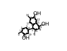 Cc1ccc(-c2c(I)cc(O)c3cc(O)c(C)cc23)cc1O